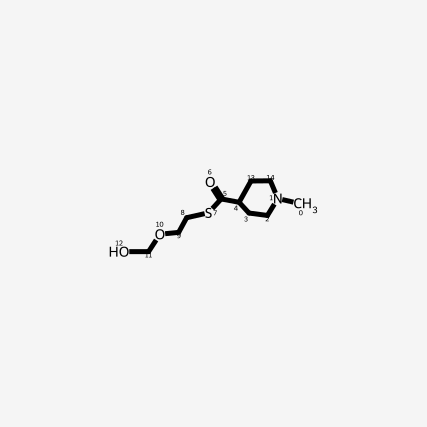 CN1CCC(C(=O)SCCOCO)CC1